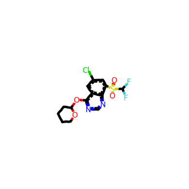 O=S(=O)(c1cc(Cl)cc2c(OC3CCCCO3)ncnc12)C(F)F